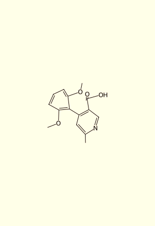 COc1cccc(OC)c1-c1cc(C)ncc1C(=O)O